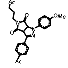 COc1ccc(N2N=C(c3ccc(C(C)=O)cc3)C3C(=O)N(CCCC(C)=O)C(=O)C32)cc1